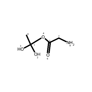 CC(O)(O)OC(=O)CN